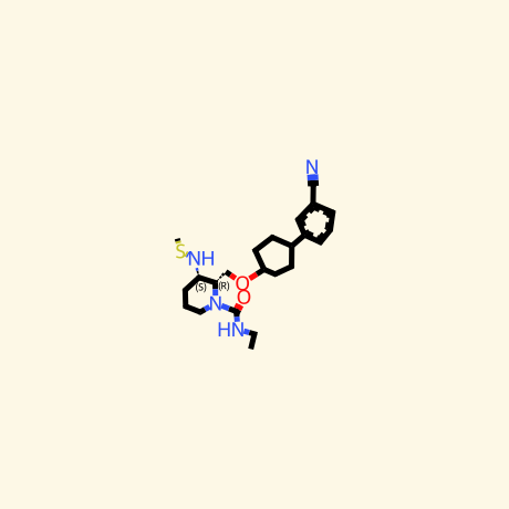 CCNC(=O)N1CCC[C@H](NSC)[C@@H]1COC1CCC(c2cccc(C#N)c2)CC1